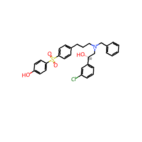 O=S(=O)(c1ccc(O)cc1)c1ccc(CCCN(Cc2ccccc2)C[C@@H](O)c2cccc(Cl)c2)cc1